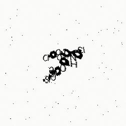 C[Si](C)(C)CCS(=O)(=O)N1CCC(Oc2ccc([C@H]3c4[nH]c5ccc(Cl)cc5c4CCN3C(=O)Oc3ccc(Cl)cc3)cc2)CC1